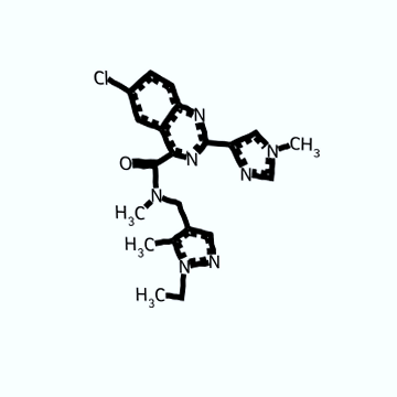 CCn1ncc(CN(C)C(=O)c2nc(-c3cn(C)cn3)nc3ccc(Cl)cc23)c1C